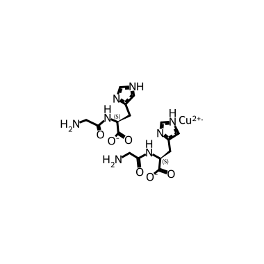 NCC(=O)N[C@@H](Cc1c[nH]cn1)C(=O)[O-].NCC(=O)N[C@@H](Cc1c[nH]cn1)C(=O)[O-].[Cu+2]